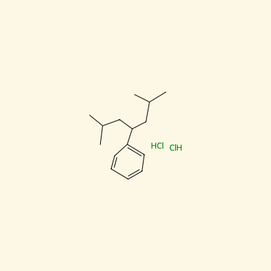 CC(C)CC(CC(C)C)c1ccccc1.Cl.Cl